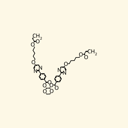 C=CC(=O)OCCCCCOc1cnc(-c2ccc(C(=O)O[C@H]3OCCO[C@@H]3OC(=O)c3ccc(-c4ncc(OCCCCCOC(=O)C=C)cn4)cc3)cc2)nc1